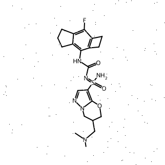 CN(C)CC1COc2c(S(N)(=O)=NC(=O)Nc3c4c(c(F)c5c3CC5)CCC4)cnn2C1